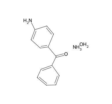 N.Nc1ccc(C(=O)c2ccccc2)cc1.O